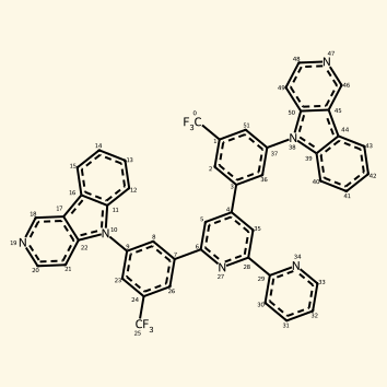 FC(F)(F)c1cc(-c2cc(-c3cc(-n4c5ccccc5c5cnccc54)cc(C(F)(F)F)c3)nc(-c3ccccn3)c2)cc(-n2c3ccccc3c3cnccc32)c1